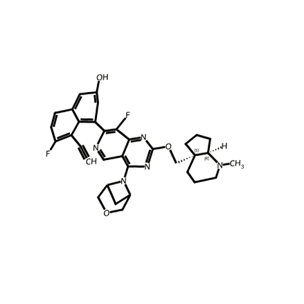 C#Cc1c(F)ccc2cc(O)cc(-c3ncc4c(N5C6COCC5C6)nc(OC[C@]56CCC[C@H]5N(C)CCC6)nc4c3F)c12